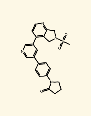 CS(=O)(=O)N1Cc2nccc(-c3cncc(-c4ccc(N5CCCC5=O)cc4)c3)c2C1